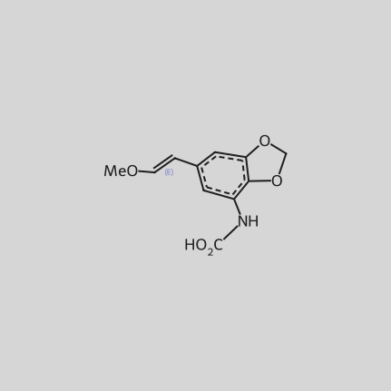 CO/C=C/c1cc(NC(=O)O)c2c(c1)OCO2